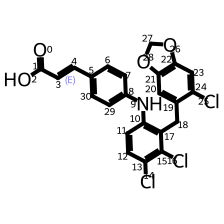 O=C(O)/C=C/c1ccc(Nc2ccc(Cl)c(Cl)c2Cc2cc3c(cc2Cl)OCO3)cc1